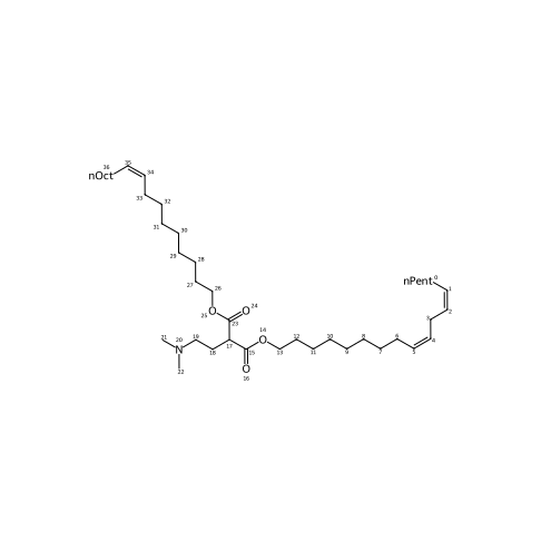 CCCCC/C=C\C/C=C\CCCCCCCCOC(=O)C(CCN(C)C)C(=O)OCCCCCCCC/C=C\CCCCCCCC